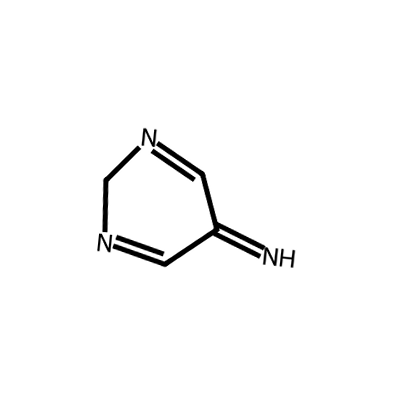 N=C1C=NCN=C1